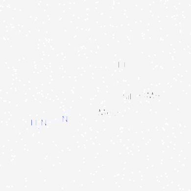 CCC(CCC=NN)[SiH](OC)OC